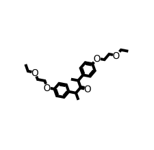 CCOCCOc1ccc(C(C)C(=O)C(C)c2ccc(OCCOCC)cc2)cc1